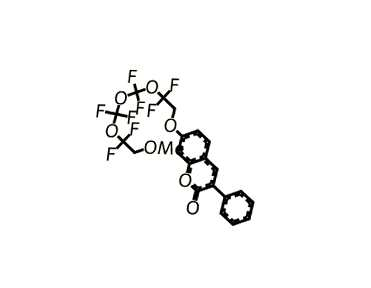 COCC(F)(F)OC(F)(F)OC(F)(F)OC(F)(F)COc1ccc2cc(-c3ccccc3)c(=O)oc2c1